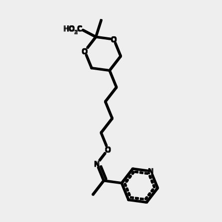 CC(=NOCCCCC1COC(C)(C(=O)O)OC1)c1cccnc1